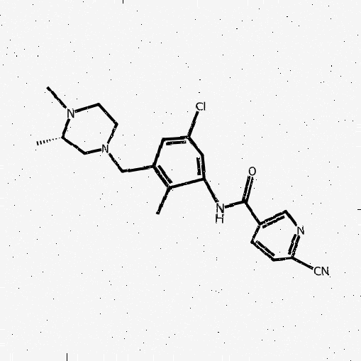 Cc1c(CN2CCN(C)[C@@H](C)C2)cc(Cl)cc1NC(=O)c1ccc(C#N)nc1